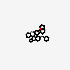 c1ccc(-c2ccc3c(c2)Oc2ccccc2C32c3ccccc3-c3ccc(N(c4ccccc4)c4ccccc4)cc32)cc1